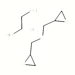 C.C(OCC1CO1)C1CO1.OCCO